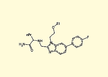 CCCC(NCc1nc2ccc(-c3ccc(F)cc3)cc2n1CCOCC)C(N)=O